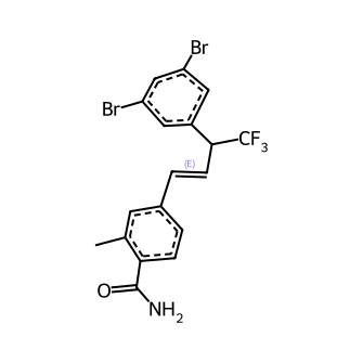 Cc1cc(/C=C/C(c2cc(Br)cc(Br)c2)C(F)(F)F)ccc1C(N)=O